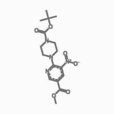 COC(=O)c1cnc(N2CCN(C(=O)OC(C)(C)C)CC2)c([N+](=O)[O-])c1